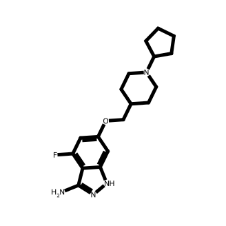 Nc1n[nH]c2cc(OCC3CCN(C4CCCC4)CC3)cc(F)c12